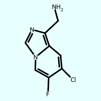 NCc1ncn2cc(F)c(Cl)cc12